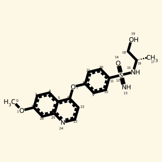 COc1ccc2c(Oc3ccc(S(=N)(=O)N[C@@H](C)CO)cc3)ccnc2c1